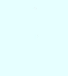 COc1ccc(N2CCCC(=O)CC2)cc1